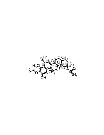 Cc1c(OCCF)c(O)cc2c1C(SC(C)C)C=C1[C@@]2(C)CC[C@@]2(C)[C@@H]3C[C@](C)(CC(N)=O)CC[C@]3(C)CC[C@]12C